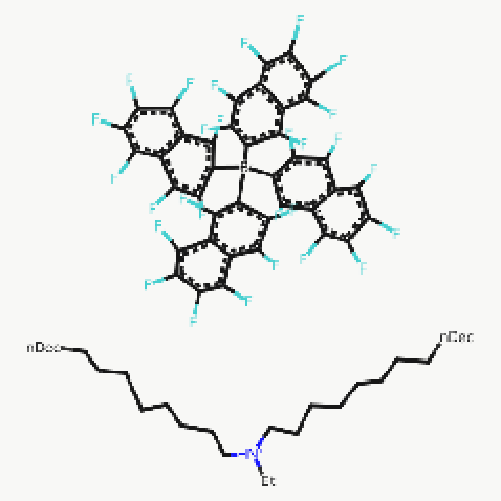 CCCCCCCCCCCCCCCCCC[NH+](CC)CCCCCCCCCCCCCCCCCC.Fc1c(F)c(F)c2c(F)c([B-](c3c(F)c(F)c4c(F)c(F)c(F)c(F)c4c3F)(c3c(F)c(F)c4c(F)c(F)c(F)c(F)c4c3F)c3c(F)c(F)c4c(F)c(F)c(F)c(F)c4c3F)c(F)c(F)c2c1F